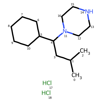 CC(C)CC(C1CCCCC1)N1CCNCC1.Cl.Cl